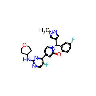 Cn1cc(C(c2cccc(F)c2)n2ccc(-c3nc(NC4CCOCC4)ncc3F)cc2=O)cn1